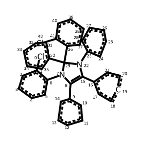 Clc1ccccc1N1C(c2ccccc2)=C(c2ccccc2)N(c2ccccc2)C1(c1ccccc1)c1ccccc1Cl